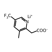 Cc1cc(C(F)(F)F)cnc1CC(=O)[O-].[Li+]